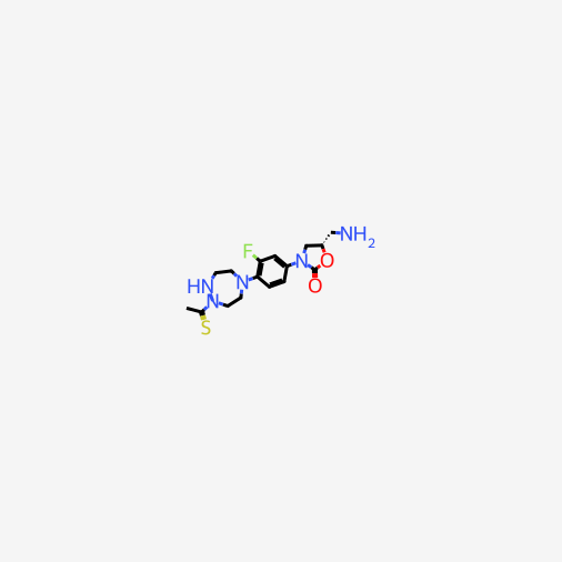 CC(=S)N1CCN(c2ccc(N3C[C@H](CN)OC3=O)cc2F)CCN1